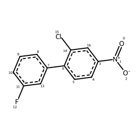 O=[N+]([O-])c1ccc(-c2cc[c]c(F)c2)c(Cl)c1